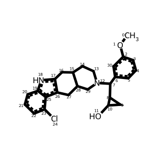 COc1cccc(C(C2CC2O)N2CCC3Cc4[nH]c5cccc(Cl)c5c4CC3C2)c1